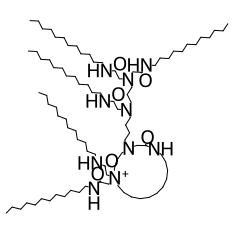 CCCCCCCCCCCCNC(=O)CN(CCCCN1CCC[N+](CC(=O)NCCCCCCCCCCCC)(CC(=O)NCCCCCCCCCCCC)CCCCCCCCCCCNC(=O)C1)CCCN(CC(=O)NCCCCCCCCCCCC)CC(=O)NCCCCCCCCCCCC